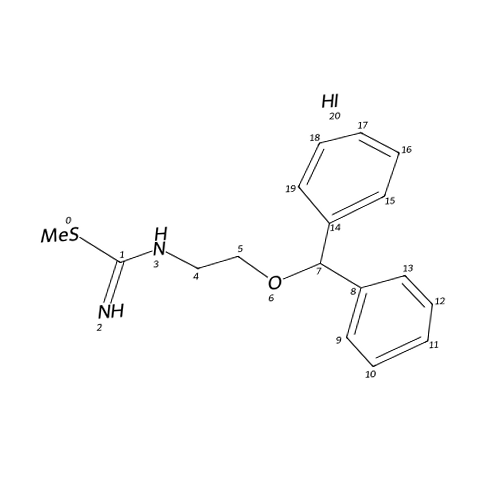 CSC(=N)NCCOC(c1ccccc1)c1ccccc1.I